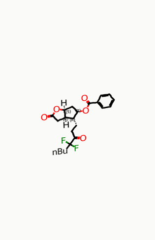 CCCCC(F)(F)C(=O)CC[C@@H]1[C@H]2CC(=O)O[C@H]2C[C@H]1OC(=O)c1ccccc1